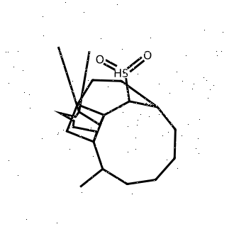 CC1CCCCC2CCC3CC14CCCCCC(C)(C)CC34C2[SH](=O)=O